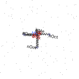 CCCCCCCC/C=C\CCCCCCCC(=O)OCC(COC(=O)CCCCCCC/C=C\CCCCCCCC)(COC(=O)CCCCCCC/C=C\CCCCCCCC)NC(=O)CNC